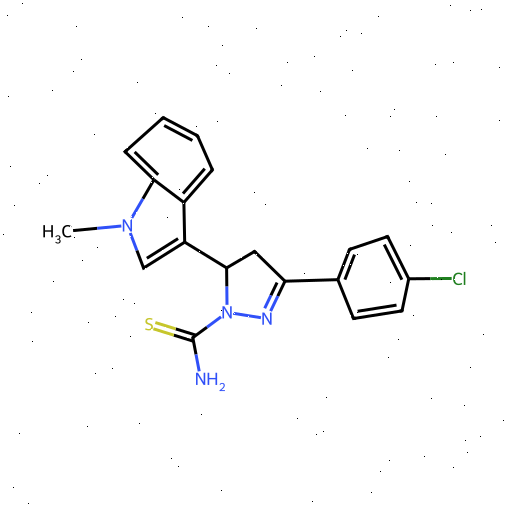 Cn1cc(C2CC(c3ccc(Cl)cc3)=NN2C(N)=S)c2ccccc21